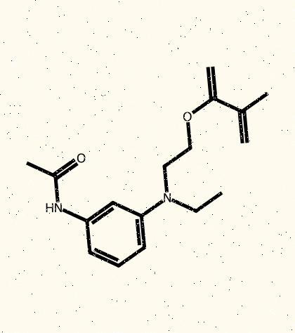 C=C(C)C(=C)OCCN(CC)c1cccc(NC(C)=O)c1